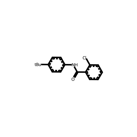 CC(C)(C)c1ccc(NC(=O)c2ccccc2Cl)cc1